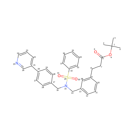 CC(C)(C)OC(=O)CCc1cccc(CN(Cc2ccc(-c3cccnc3)cc2)S(=O)(=O)c2ccccc2)c1